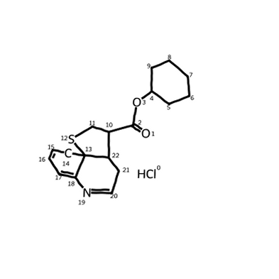 Cl.O=C(OC1CCCCC1)C1CSC23CC=CC=C2N=CCC13